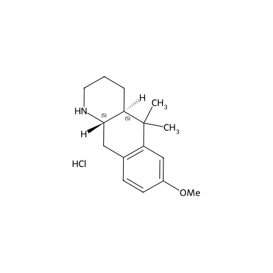 COc1ccc2c(c1)C(C)(C)[C@@H]1CCCN[C@H]1C2.Cl